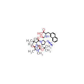 C[C@@H](C(=O)N[C@H](C(=O)N1CC[C@@H](N=[N+]=[N-])[C@H]1C(=O)NC(Cc1ccc2ccccc2c1)C(=O)O)C(C)(C)C)N(C)C(=O)OC(C)(C)C